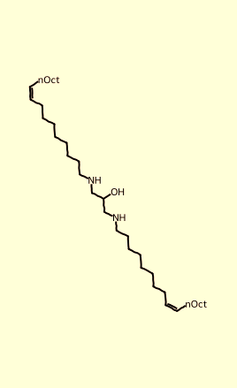 CCCCCCCC/C=C\CCCCCCCCNCC(O)CNCCCCCCCC/C=C\CCCCCCCC